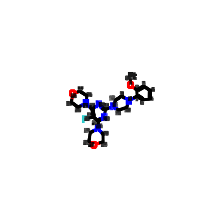 CCOc1ccccc1N1CCN(c2nc(N3CCOCC3)c(F)c(N3CCOCC3)n2)CC1